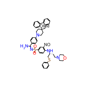 COC1(Cc2ccccc2-c2ccccc2)CCN(c2ccc(/C(N)=N\S(=O)(=O)c3ccc(N[C@H](CCN4CCOCC4)CSc4ccccc4)c(N=O)c3)cc2)CC1